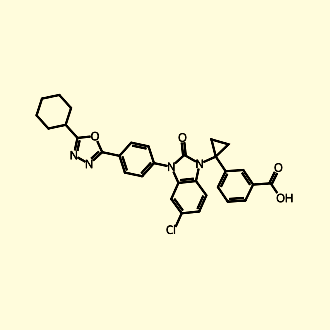 O=C(O)c1cccc(C2(n3c(=O)n(-c4ccc(-c5nnc(C6CCCCC6)o5)cc4)c4cc(Cl)ccc43)CC2)c1